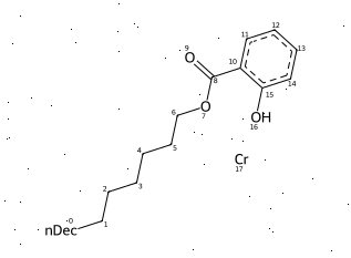 CCCCCCCCCCCCCCCCOC(=O)c1ccccc1O.[Cr]